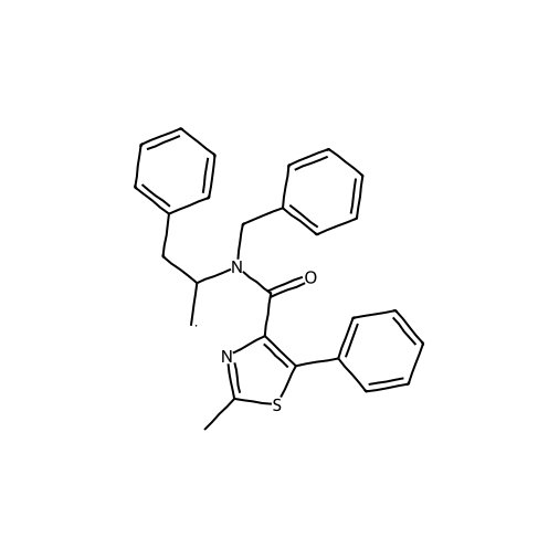 [CH2]C(Cc1ccccc1)N(Cc1ccccc1)C(=O)c1nc(C)sc1-c1ccccc1